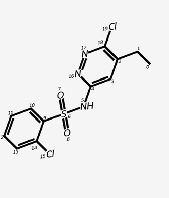 CCc1cc(NS(=O)(=O)c2ccccc2Cl)nnc1Cl